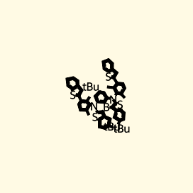 Cc1ccc(-c2cc3ccccc3s2)c(C)c1N1c2cc(C(C)(C)C)cc3c2B(c2c1sc1ccc(C(C)(C)C)cc21)c1c(sc2ccc(C(C)(C)C)cc12)N3c1c(C)ccc(-c2cc3ccccc3s2)c1C